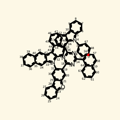 c1ccc(-n2c3ccccc3c3cccc(-c4nc(-c5cc6oc7ccccc7c6cc5-n5c6cc7ccccc7cc6c6c7ccccc7ccc65)nc(-c5cccc6ccccc56)n4)c32)cc1